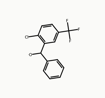 [O]C(c1ccccc1)c1cc(C(F)(F)F)ccc1Cl